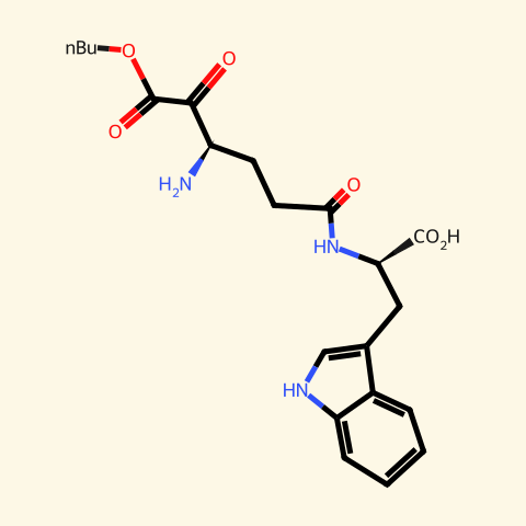 CCCCOC(=O)C(=O)[C@H](N)CCC(=O)N[C@H](Cc1c[nH]c2ccccc12)C(=O)O